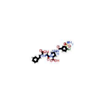 C[C@H](N[C@@H](CCc1ccccc1)C(=O)O)C(=O)N1CC(NNC(=O)c2ccc(Cl)c(S(N)(=O)=O)c2)C[C@H]1C(=O)O